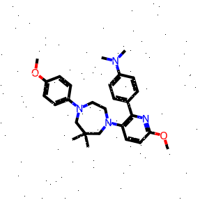 COc1ccc(N2CCN(c3ccc(OC)nc3-c3ccc(N(C)C)cc3)CC(C)(C)C2)cc1